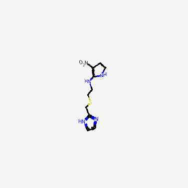 O=[N+]([O-])C1=C(NCCSCc2ncc[nH]2)NCC1